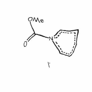 COC(=O)[n+]1ccccc1.[I-]